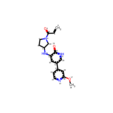 C=CC(=O)N1CCC(Nc2cc(-c3ccnc(OC)c3)c[nH]c2=O)C1